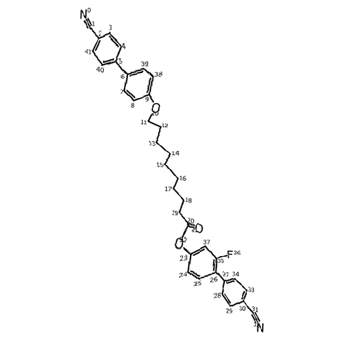 N#Cc1ccc(-c2ccc(OCCCCCCCCCC(=O)Oc3ccc(-c4ccc(C#N)cc4)c(F)c3)cc2)cc1